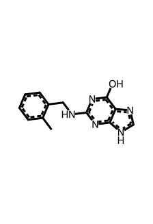 Cc1ccccc1CNc1nc(O)c2nc[nH]c2n1